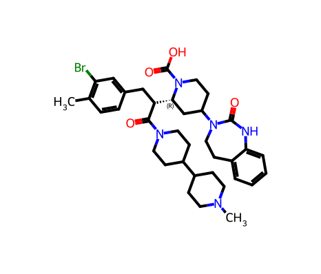 Cc1ccc(CC(C(=O)N2CCC(C3CCN(C)CC3)CC2)[C@H]2CC(N3CCc4ccccc4NC3=O)CCN2C(=O)O)cc1Br